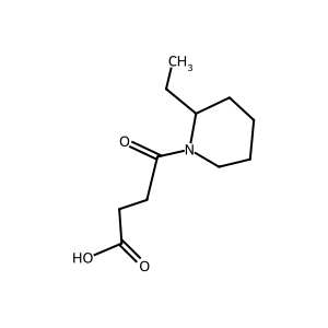 CCC1CCCCN1C(=O)CCC(=O)O